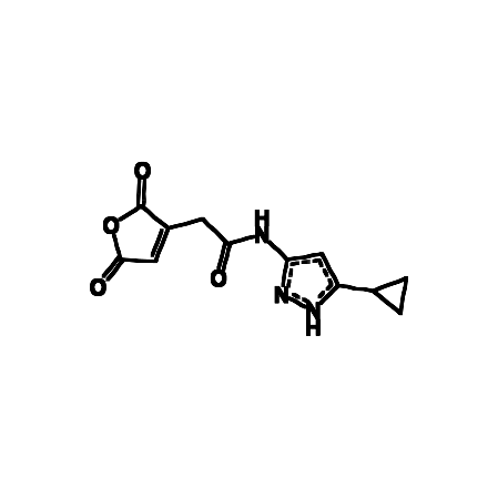 O=C(CC1=CC(=O)OC1=O)Nc1cc(C2CC2)[nH]n1